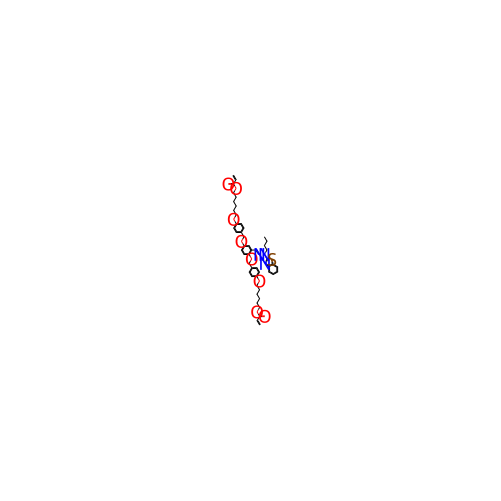 C=CC(=O)OCCCCCCOc1ccc(COc2ccc(OCc3ccc(OCCCCCCOC(=O)C=C)cc3)c(/C=N/N(CCCC)c3nc4ccccc4s3)c2)cc1